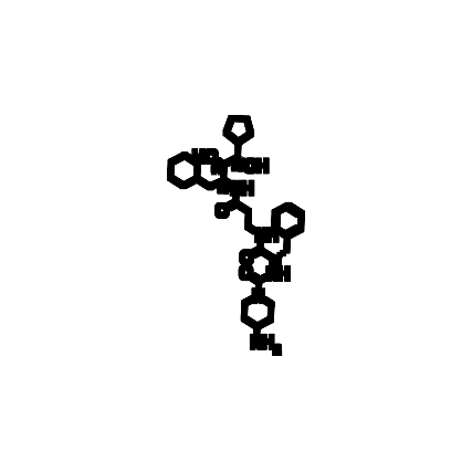 NC1CCN(C(=O)N[C@@H](Cc2ccccc2)C(=O)NCCC(=O)N[C@@H](CC2CCCCC2)[C@@H](O)[C@@H](O)C2CCCC2)CC1